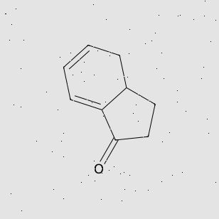 O=C1CCC2CC=CC=C12